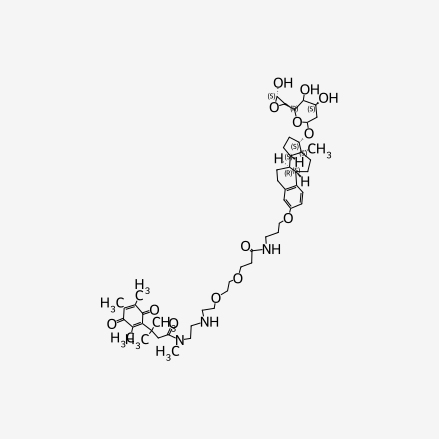 CC1=C(C)C(=O)C(C(C)(C)CC(=O)N(C)CCNCCOCCOCCC(=O)NCCCOc2ccc3c(c2)CC[C@@H]2[C@@H]3CC[C@]3(C)[C@@H](OC4C[C@H](O)C(O)[C@H](C5O[C@@H]5O)O4)CC[C@@H]23)=C(C)C1=O